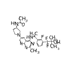 CC(=O)N[C@@H]1CCN(c2cnc3nc(C)nc(NC(C)c4cccc(C(F)(F)C(C)(C)O)c4F)c3c2)C1